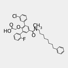 CN(CCCCCCCCc1ccccc1)C(=O)c1cc(-c2cccc(Cl)c2)c(OCC(=O)O)c(-c2ccccc2F)c1